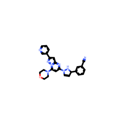 N#Cc1cccc(C2C=CN(c3cc(N4CCOCC4)n4nc(-c5cccnc5)cc4n3)N2)c1